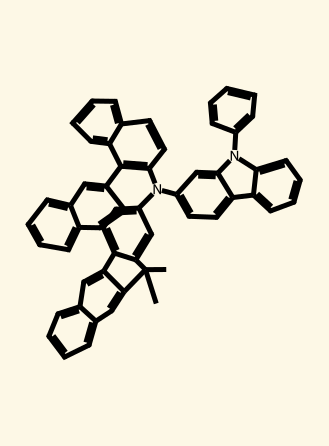 CC1(C)c2cc(N(c3ccc4c5ccccc5n(-c5ccccc5)c4c3)c3ccc4ccccc4c3-c3ccc4ccccc4c3)ccc2-c2cc3ccccc3cc21